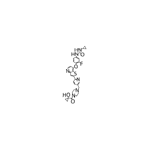 O=C(Nc1ccc(Oc2ccnc3cc(-c4ccc(CN5CCN(C(=O)C6(O)CC6)CC5)cn4)sc23)c(F)c1)NC1CC1